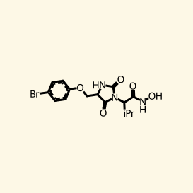 CC(C)C(C(=O)NO)N1C(=O)NC(COc2ccc(Br)cc2)C1=O